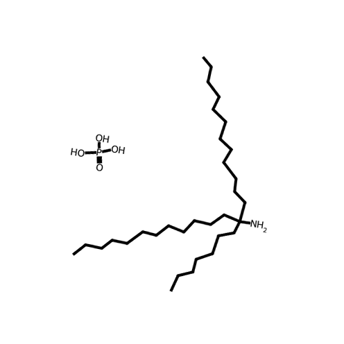 CCCCCCCCCCCCC(N)(CCCCCCC)CCCCCCCCCCCC.O=P(O)(O)O